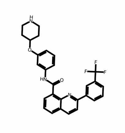 O=C(Nc1cccc(OC2CCNCC2)c1)c1cccc2ccc(-c3cccc(C(F)(F)F)c3)nc12